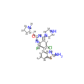 Cc1cc(-c2c(Cl)cc3c(N4CCNCC4)nc(OC[C@@H]4CCCN4C)nc3c2F)c2nc(N)sc2c1